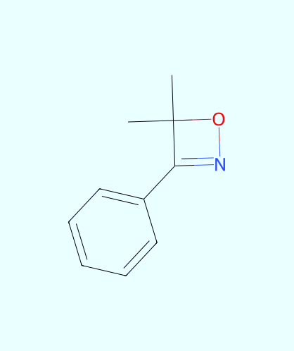 CC1(C)ON=C1c1ccccc1